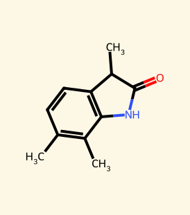 Cc1ccc2c(c1C)NC(=O)C2C